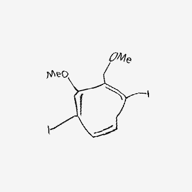 COc1c(I)ccc(I)c1OC